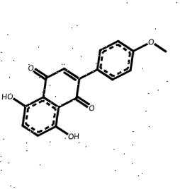 COc1ccc(C2=CC(=O)c3c(O)ccc(O)c3C2=O)cc1